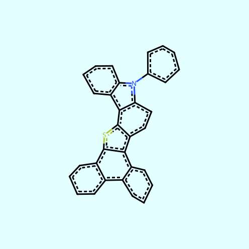 c1ccc(-n2c3ccccc3c3c4sc5c6ccccc6c6ccccc6c5c4ccc32)cc1